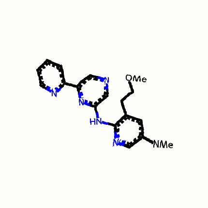 CNc1cnc(Nc2cncc(-c3ccccn3)n2)c(CCOC)c1